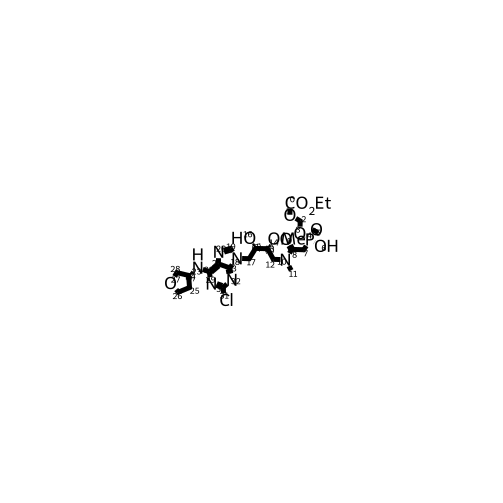 CCOC(=O)OCOP(=O)(O)CC(=O)N(C)C[C@@H](OC)[C@@H](O)Cn1cnc2c(N[C@H]3CCOC3)nc(Cl)nc21